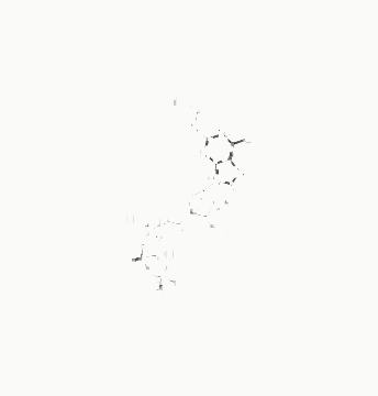 CC(C)CNc1nc2c(ncn2[C@]2(F)O[C@H](COP(=O)(O)OP(=O)(O)OP(=O)(O)O)[C@@H](O)[C@H]2O)c(=O)[nH]1